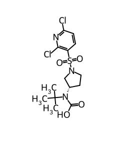 CC(C)(C)N(C(=O)O)[C@H]1CCN(S(=O)(=O)c2ccc(Cl)nc2Cl)C1